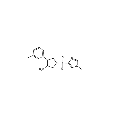 Cn1cnc(S(=O)(=O)N2CC(N)C(c3cccc(F)c3)C2)c1